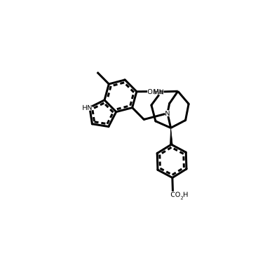 COc1cc(C)c2[nH]ccc2c1CN1CC2CC[C@]1(c1ccc(C(=O)O)cc1)CCN2